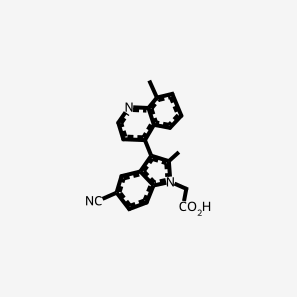 Cc1cccc2c(-c3c(C)n(CC(=O)O)c4ccc(C#N)cc34)ccnc12